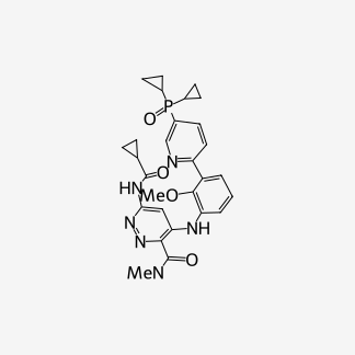 CNC(=O)c1nnc(NC(=O)C2CC2)cc1Nc1cccc(-c2ccc(P(=O)(C3CC3)C3CC3)cn2)c1OC